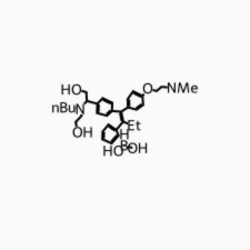 CCCCN(CCO)C(CO)c1ccc(C(=C(CC)c2ccccc2)c2ccc(OCCNC)cc2)cc1.OBO